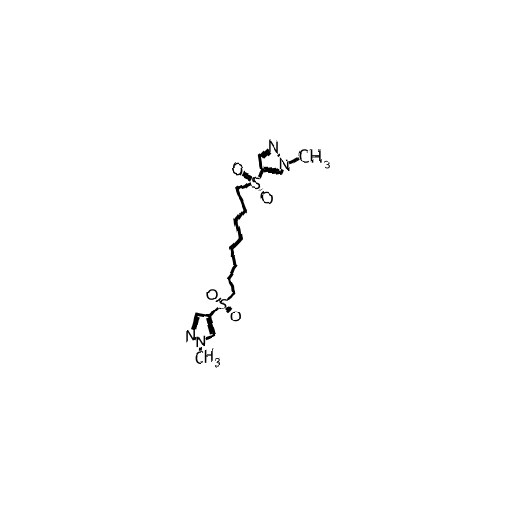 Cn1cc(S(=O)(=O)CCCCCCCCS(=O)(=O)c2cnn(C)c2)cn1